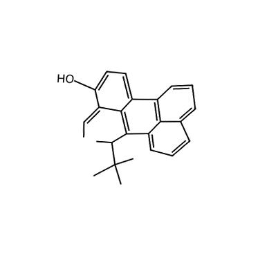 C/C=c1/c(O)ccc2c1c(C(C)C(C)(C)C)c1cccc3cccc2c31